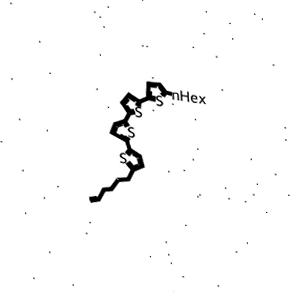 C=CCCCCc1ccc(-c2ccc(-c3ccc(-c4ccc(CCCCCC)s4)s3)s2)s1